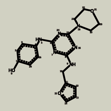 Oc1ccc(Nc2nc(NCc3ccco3)nc(N3CCOCC3)n2)cc1